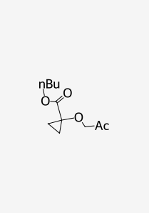 CCCCOC(=O)C1(OCC(C)=O)CC1